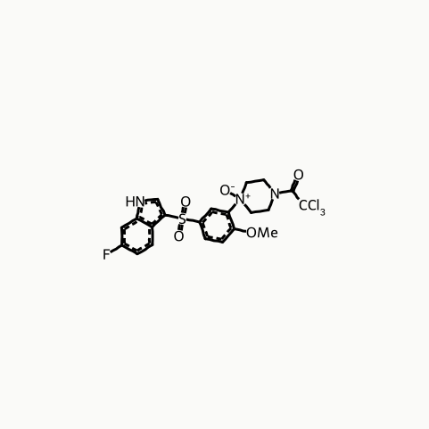 COc1ccc(S(=O)(=O)c2c[nH]c3cc(F)ccc23)cc1[N+]1([O-])CCN(C(=O)C(Cl)(Cl)Cl)CC1